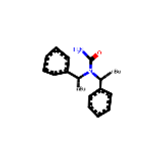 CCCCC(c1ccccc1)N(C(N)=O)C(CCCC)c1ccccc1